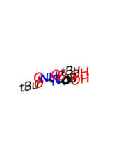 CC(C)(C)OC(=O)NCCCN(Cc1ccc(B(O)O)cc1)C(=O)OC(C)(C)C